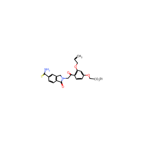 C=CCOc1cc(OCC(=O)OCC)ccc1C(=O)CN1Cc2cc(C(N)=S)ccc2C1=O